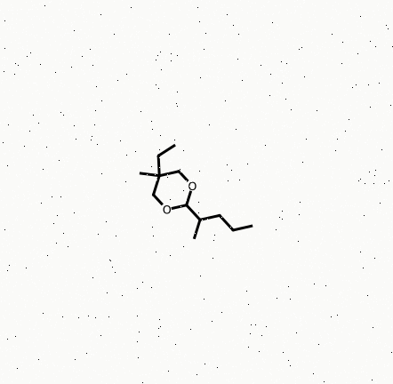 CCCC(C)C1OCC(C)(CC)CO1